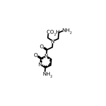 NCCN(CC(=O)O)CC(=O)n1ccc(N)nc1=O